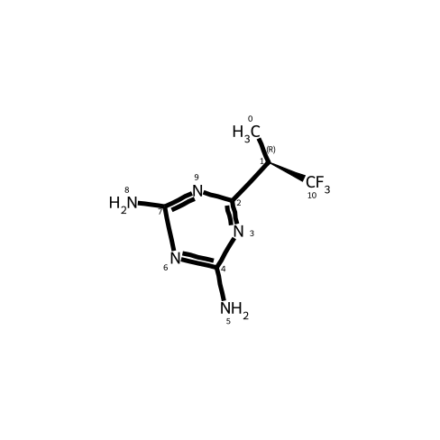 C[C@H](c1nc(N)nc(N)n1)C(F)(F)F